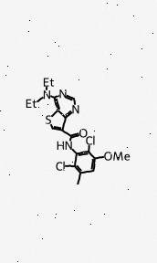 CCN(CC)c1ncnc2c(C(=O)Nc3c(Cl)c(C)cc(OC)c3Cl)csc12